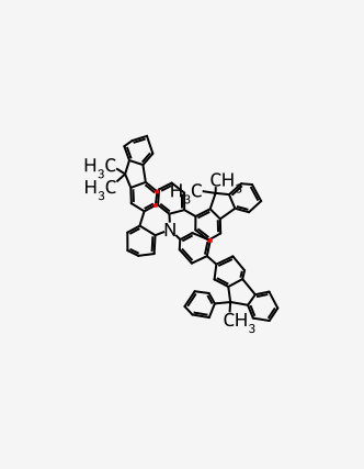 CC1(C)c2ccccc2-c2ccc(-c3ccccc3N(c3ccc(-c4ccc5c(c4)C(C)(c4ccccc4)c4ccccc4-5)cc3)c3ccccc3-c3cccc4c3C(C)(C)c3ccccc3-4)cc21